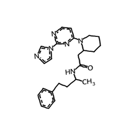 CC(CCc1ccccc1)NC(=O)CC1CCCCN1c1ccnc(-n2ccnc2)n1